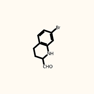 O=CC1CCc2ccc(Br)cc2N1